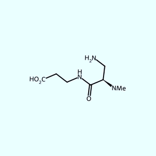 CN[C@H](CN)C(=O)NCCC(=O)O